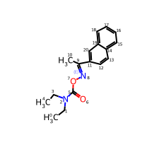 CCN(CC)C(=O)O/N=C(\C)c1ccc2ccccc2c1